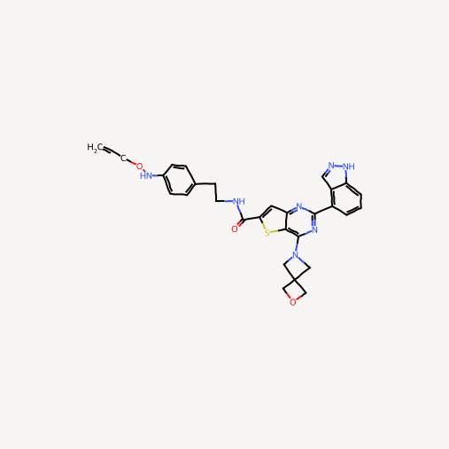 C=CCONc1ccc(CCNC(=O)c2cc3nc(-c4cccc5[nH]ncc45)nc(N4CC5(COC5)C4)c3s2)cc1